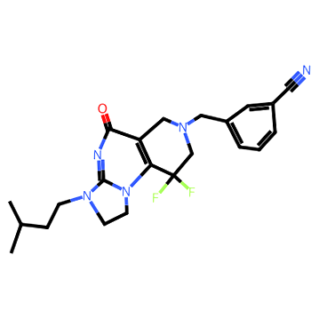 CC(C)CCN1CCn2c1nc(=O)c1c2C(F)(F)CN(Cc2cccc(C#N)c2)C1